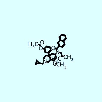 COC1CC(N(CC(C)C)C(=O)c2ccc3ccccc3c2)CC2(c3cccc(OC(C)=O)c3)CCN(CC3CC3)CC12